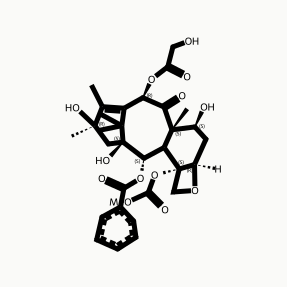 COC(=O)O[C@@]12CO[C@@H]1C[C@H](O)[C@@]1(C)C(=O)[C@H](OC(=O)CO)C3=C(C)[C@](C)(O)C[C@@](O)([C@@H](OC(=O)c4ccccc4)C12)C3(C)C